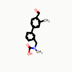 Cc1cc(-c2cccc(CN(C)C(=O)O)c2)ccc1C=O